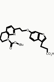 CC(C)(C)OC(=O)N1CCCc2ccc(CCOc3ccc4c(CCC(=O)O)csc4c3)nc21